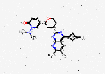 Cc1nc2nc([C@H]3CCO[C@@H](c4ccc(=O)n(N(C)C)c4)C3)nc(C34CC(C(F)(F)F)(C3)C4)c2cc1C(F)(F)F